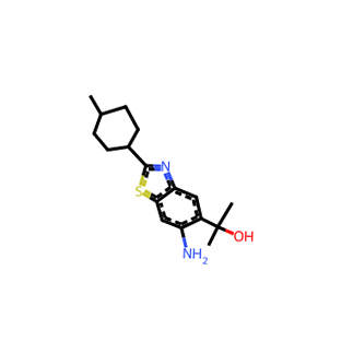 CC1CCC(c2nc3cc(C(C)(C)O)c(N)cc3s2)CC1